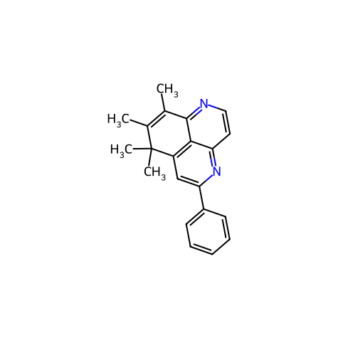 CC1=C(C)C(C)(C)c2cc(-c3ccccc3)nc3ccnc1c23